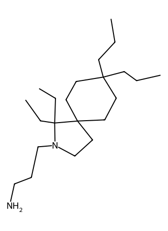 CCCC1(CCC)CCC2(CCN(CCCN)C2(CC)CC)CC1